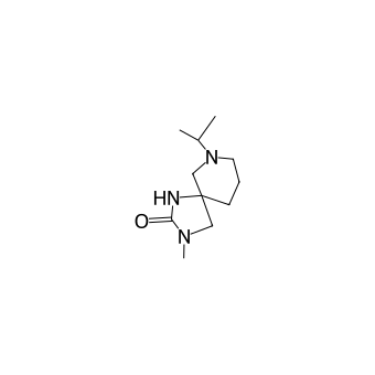 CC(C)N1CCCC2(CN(C)C(=O)N2)C1